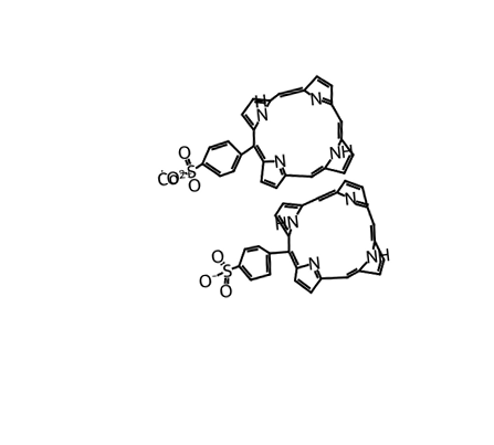 O=S(=O)([O-])c1ccc(-c2c3nc(cc4ccc(cc5nc(cc6ccc2[nH]6)C=C5)[nH]4)C=C3)cc1.O=S(=O)([O-])c1ccc(-c2c3nc(cc4ccc(cc5nc(cc6ccc2[nH]6)C=C5)[nH]4)C=C3)cc1.[Co+2]